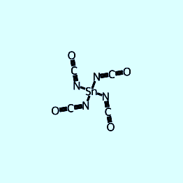 O=C=[N][Sn]([N]=C=O)([N]=C=O)[N]=C=O